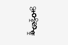 COC(=O)C(C)(C)c1ccc(C(=O)Nc2cn3cc(-c4cn[nH]c4)ccc3n2)cc1